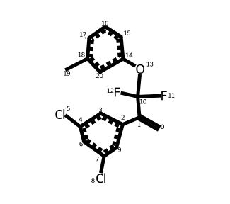 C=C(c1cc(Cl)cc(Cl)c1)C(F)(F)Oc1cc[c]c(C)c1